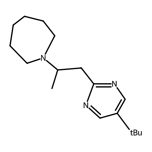 CC(Cc1ncc(C(C)(C)C)cn1)N1CCCCCC1